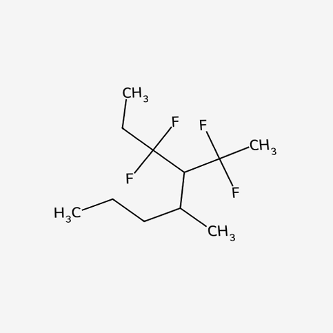 CCCC(C)C(C(C)(F)F)C(F)(F)CC